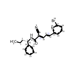 CCC[C@H](NC(=O)/C(C#N)=C/C=C/c1cccc(Br)n1)c1ccccc1